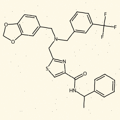 CC(NC(=O)c1csc(CN(Cc2cccc(C(F)(F)F)c2)Cc2ccc3c(c2)OCO3)n1)c1ccccc1